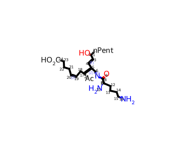 CCCCCC(O)/C=C/C(/C=N/C(=O)[C@@H](N)CCCCN)=C(\C/C=C\CCCC(=O)O)C(C)=O